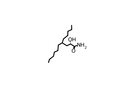 CCCCCCC(CCCCC)C[C@H](O)C(N)=O